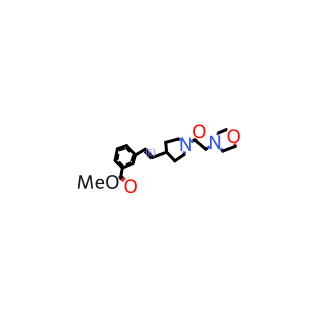 COC(=O)c1cccc(/C=C/C2CCN(C(=O)CN3CCOCC3)CC2)c1